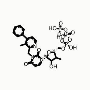 Cc1c(-c2ccccc2)ccnc1Cn1c(=O)ccn([C@@H]2O[C@H](COP(=O)(O)OP(=O)(O)OP(=O)(O)O)C(C)C2O)c1=O